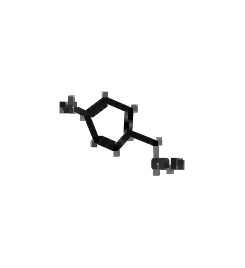 CCOC(=O)Cc1ccc(C#N)cc1